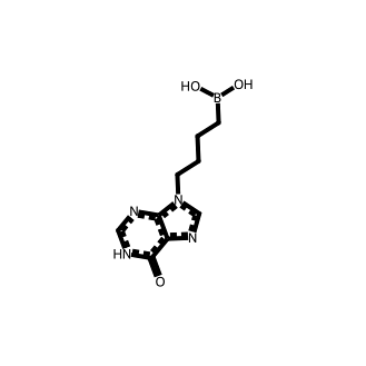 O=c1[nH]cnc2c1ncn2CCCCB(O)O